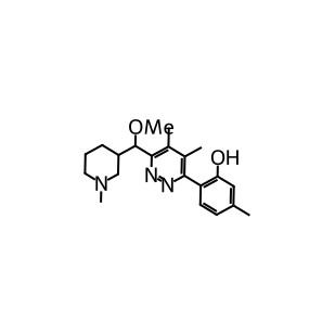 COC(c1nnc(-c2ccc(C)cc2O)c(C)c1C)C1CCCN(C)C1